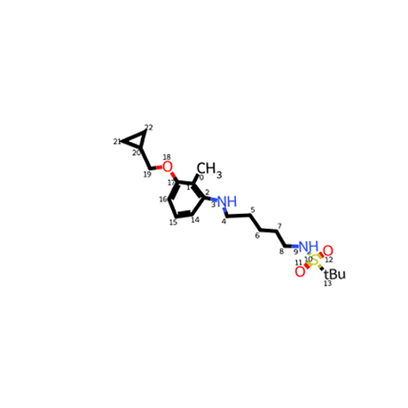 Cc1c(NCCCCCNS(=O)(=O)C(C)(C)C)cccc1OCC1CC1